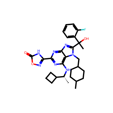 CC1CCC(Cn2c(C(C)(O)c3ccccc3F)nc3nc(-c4noc(=O)[nH]4)nc(N[C@H](C)C4CCC4)c32)CC1